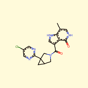 Cc1c[nH]c(=O)c2c(C(=O)N3CC4CC4(c4ncc(Cl)cn4)C3)c[nH]c12